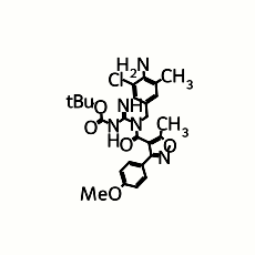 COc1ccc(-c2noc(C)c2C(=O)N(Cc2cc(C)c(N)c(Cl)c2)C(=N)NC(=O)OC(C)(C)C)cc1